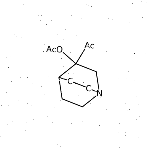 CC(=O)OC1(C(C)=O)CN2CCC1CC2